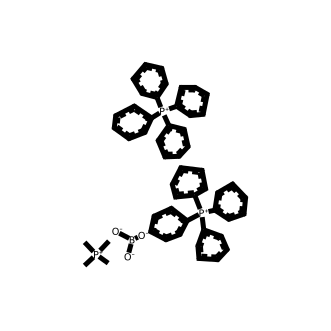 C[P+](C)(C)C.[O-]B([O-])[O-].c1ccc([P+](c2ccccc2)(c2ccccc2)c2ccccc2)cc1.c1ccc([P+](c2ccccc2)(c2ccccc2)c2ccccc2)cc1